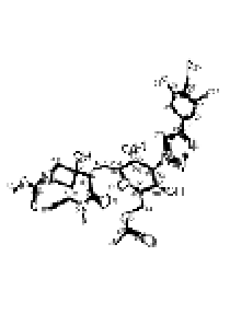 CCN(C)C(=O)[C@H](S[C@@H]1O[C@H](COC(C)=O)[C@H](O)[C@H](n2cc(-c3cc(F)c(F)c(F)c3)nn2)[C@H]1O)C1(O)CN(C(=O)OC)C1